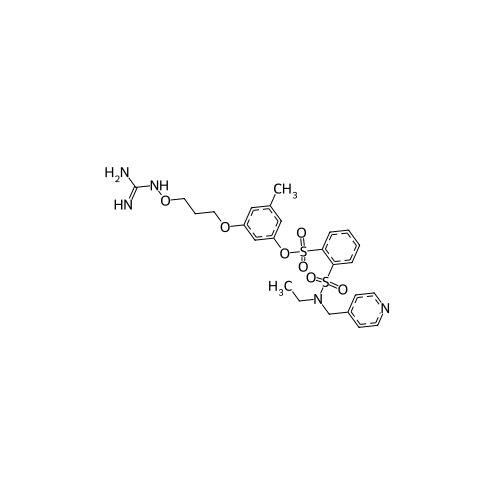 CCN(Cc1ccncc1)S(=O)(=O)c1ccccc1S(=O)(=O)Oc1cc(C)cc(OCCCONC(=N)N)c1